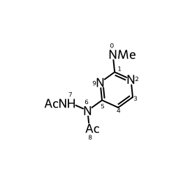 CNc1nccc(N(NC(C)=O)C(C)=O)n1